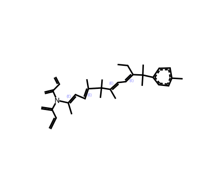 C=CC(=C)N(C(=C)C=C)/C(C)=C/C=C(\C)C(C)(C)/C(C)=C/C=C(\CC)C(C)(C)c1ccc(C)cc1